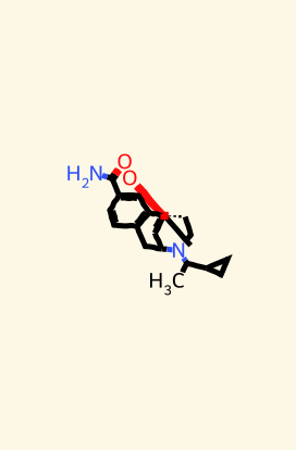 CC(C1CC1)N1CC[C@@]23CC(=O)CCC2C1Cc1ccc(C(N)=O)cc13